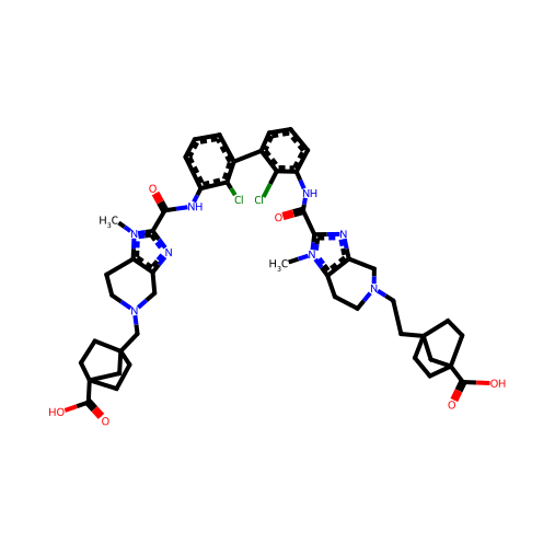 Cn1c(C(=O)Nc2cccc(-c3cccc(NC(=O)c4nc5c(n4C)CCN(CC46CCC(C(=O)O)(CC4)C6)C5)c3Cl)c2Cl)nc2c1CCN(CCC13CCC(C(=O)O)(CC1)C3)C2